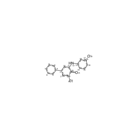 CCn1nc(-c2ccccc2)cc(Nc2ccc[n+]([O-])c2)c1=O